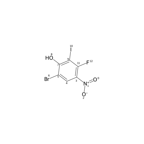 O=[N+]([O-])c1cc(Br)c(O)c(I)c1F